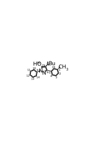 Cc1cccc(-c2nn(-c3ccccc3)c(O)c2C(C)(C)C)c1